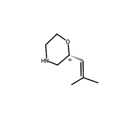 CC(C)=C[C@@H]1CNCCO1